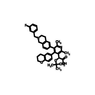 Cc1nc(C)c([C@H](OC(C)(C)C)C(=O)O)c(-c2ccc3c(c2)CCCO3)c1-c1ccc2c(c1)CCN(Cc1cccc(F)c1)C2